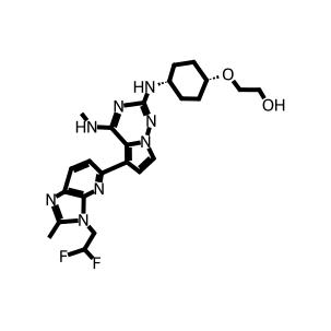 CNc1nc(N[C@H]2CC[C@@H](OCCO)CC2)nn2ccc(-c3ccc4nc(C)n(CC(F)F)c4n3)c12